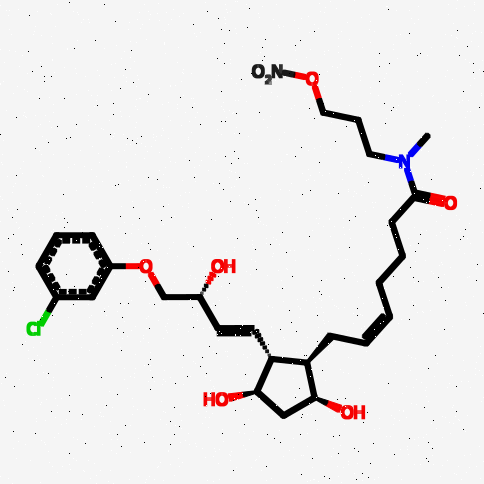 CN(CCCO[N+](=O)[O-])C(=O)CCC/C=C\C[C@@H]1[C@@H](/C=C/[C@@H](O)COc2cccc(Cl)c2)[C@H](O)C[C@@H]1O